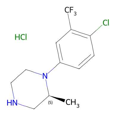 C[C@H]1CNCCN1c1ccc(Cl)c(C(F)(F)F)c1.Cl